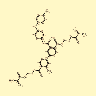 C=C(C)C(=O)OCCOC(=O)c1ccc(-c2ccc(C(=O)OCCOC(=O)C(=C)C)c(C(=O)Nc3ccc(Oc4ccc(N)cc4)cc3)c2)cc1C